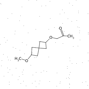 COC1CC2(C1)CC(OCC(C)=O)C2